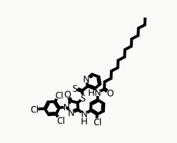 CCCCCCCCCCCCCC(=O)Nc1ccc(Cl)c(NC2=NN(c3c(Cl)cc(Cl)cc3Cl)C(=O)C2SC(=S)c2ccccn2)c1